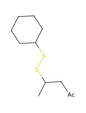 CC(=O)CC(C)SSC1CCCCC1